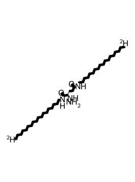 [2H]CCCCCCCCCCCCCCCCCCNC(=O)CC[C@H](NN)C(=O)NCCCCCCCCCCCCCCCCCC[2H]